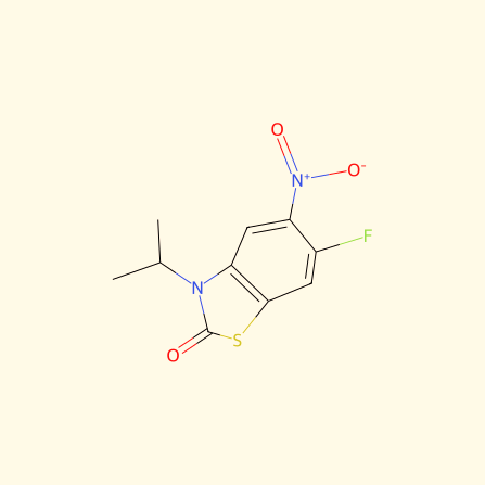 CC(C)n1c(=O)sc2cc(F)c([N+](=O)[O-])cc21